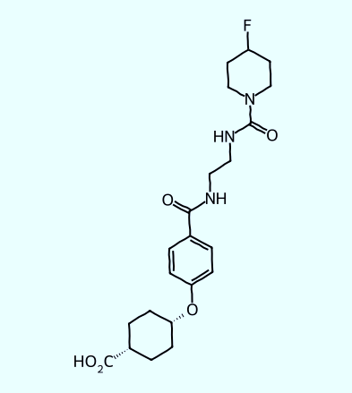 O=C(NCCNC(=O)N1CCC(F)CC1)c1ccc(O[C@H]2CC[C@@H](C(=O)O)CC2)cc1